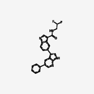 O=C(NCC(F)F)c1cnn2ccc(-c3c[nH]c4ncc(-c5ccccc5)cc34)cc12